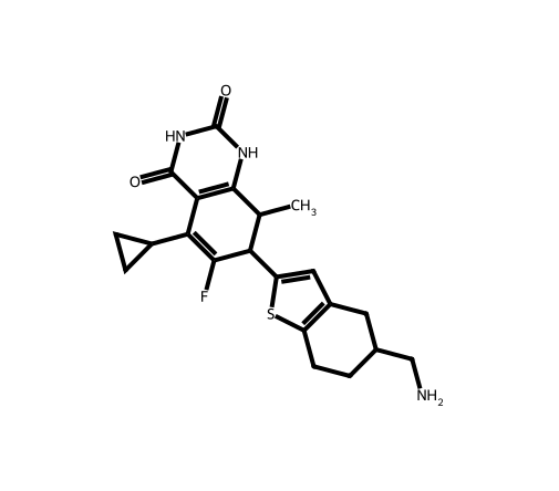 CC1c2[nH]c(=O)[nH]c(=O)c2C(C2CC2)=C(F)C1c1cc2c(s1)CCC(CN)C2